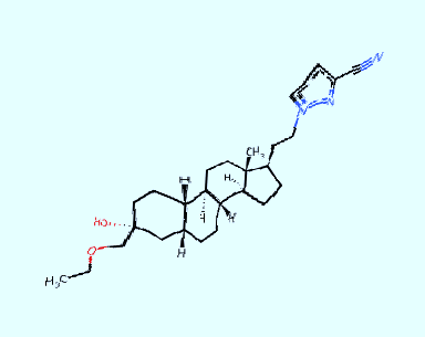 CCOC[C@@]1(O)CC[C@H]2[C@H](CC[C@@H]3[C@@H]2CC[C@]2(C)[C@@H](CCn4ccc(C#N)n4)CC[C@@H]32)C1